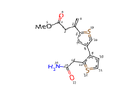 C=C(CC(=O)OC)c1cc(-c2ccsc2CC(N)=O)cs1